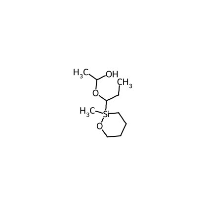 CCC(OC(C)O)[Si]1(C)CCCCO1